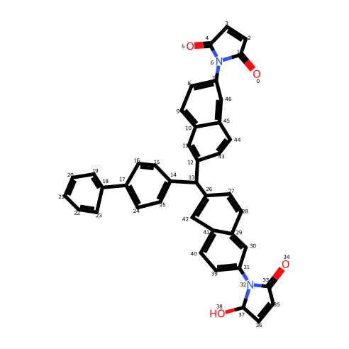 O=C1C=CC(=O)N1c1ccc2cc(C(c3ccc(-c4ccccc4)cc3)c3ccc4cc(N5C(=O)C=CC5O)ccc4c3)ccc2c1